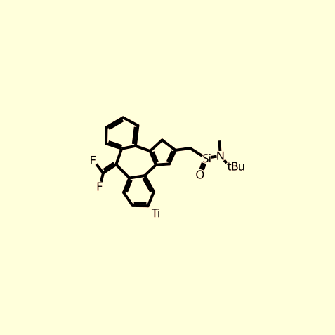 CN([Si](=O)CC1=CC2=C(C1)c1ccccc1C(=C(F)F)c1ccccc12)C(C)(C)C.[Ti]